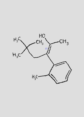 C/C(O)=C(/CC(C)(C)C)c1ccccc1C